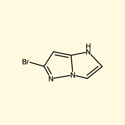 Brc1cc2[nH]ccn2n1